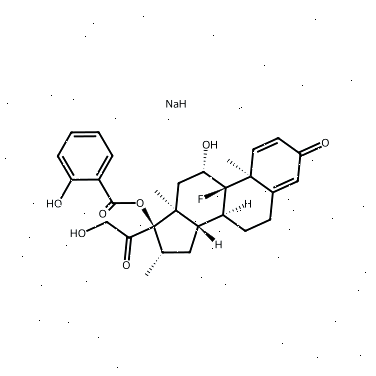 C[C@H]1C[C@H]2[C@@H]3CCC4=CC(=O)C=C[C@]4(C)[C@@]3(F)[C@@H](O)C[C@]2(C)[C@@]1(OC(=O)c1ccccc1O)C(=O)CO.[NaH]